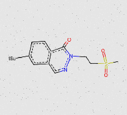 CC(C)(C)c1ccc2c(=O)n(CCS(C)(=O)=O)ncc2c1